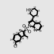 Cc1c(S(=O)(=O)n2cc(C3CCCNC3)c3cccnc32)sc2ccc(Cl)cc12